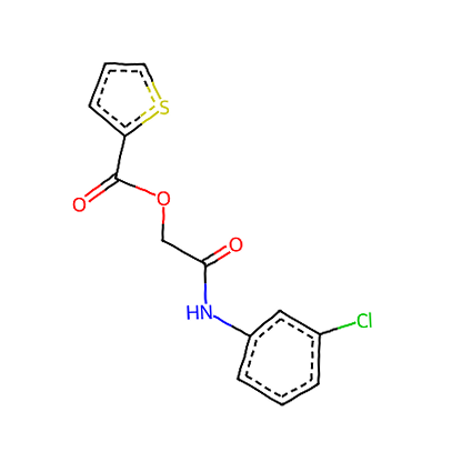 O=C(COC(=O)c1cccs1)Nc1cccc(Cl)c1